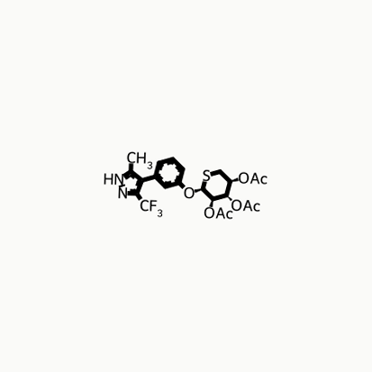 CC(=O)O[C@@H]1[C@@H](OC(C)=O)[C@@H](Oc2cccc(-c3c(C(F)(F)F)n[nH]c3C)c2)SC[C@H]1OC(C)=O